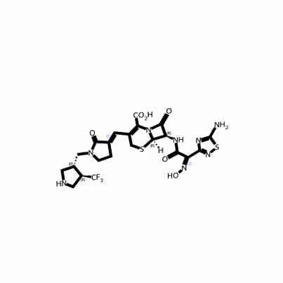 Nc1nc(/C(=N/O)C(=O)N[C@@H]2C(=O)N3C(C(=O)O)=C(/C=C4\CCN(C[C@H]5CNC[C@@H]5C(F)(F)F)C4=O)CS[C@H]23)ns1